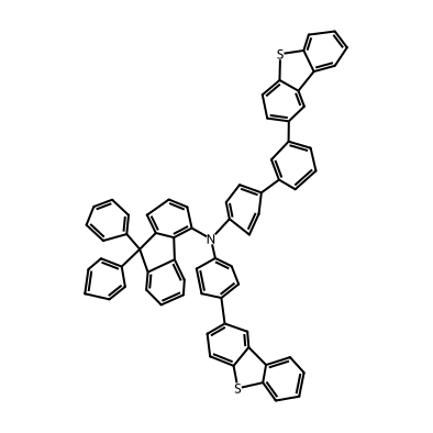 c1ccc(C2(c3ccccc3)c3ccccc3-c3c(N(c4ccc(-c5cccc(-c6ccc7sc8ccccc8c7c6)c5)cc4)c4ccc(-c5ccc6sc7ccccc7c6c5)cc4)cccc32)cc1